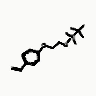 C=Cc1ccc(OCCO[Si](C)(C)C(C)(C)C)cc1